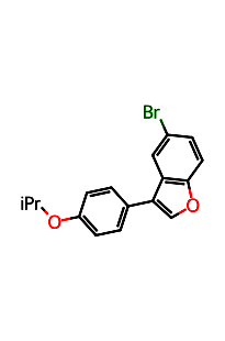 CC(C)Oc1ccc(-c2coc3ccc(Br)cc23)cc1